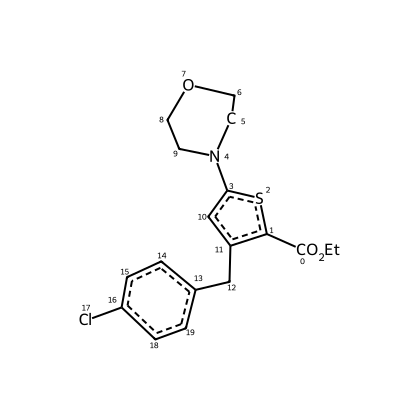 CCOC(=O)c1sc(N2CCOCC2)cc1Cc1ccc(Cl)cc1